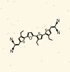 CCc1cc(C=C(C#N)C#N)sc1-c1ccc(-c2sc(-c3sc(C=C(C#N)C#N)cc3CC)cc2CC)o1